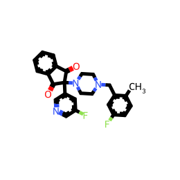 Cc1ccc(F)cc1CN1CCN(C2(c3cncc(F)c3)C(=O)c3ccccc3C2=O)CC1